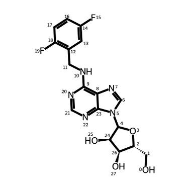 OC[C@H]1OC(n2cnc3c(NCc4cc(F)ccc4F)ncnc32)[C@H](O)[C@@H]1O